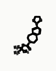 CC(C)(C)OC(=O)N1CCc2ccc(B3OCCO3)cc2CC1